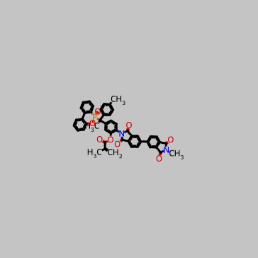 C=C(C)C(=O)Oc1cc(C(C)(c2ccc(C)cc2)P2(=O)Oc3ccccc3-c3ccccc32)ccc1N1C(=O)c2ccc(-c3ccc4c(c3)C(=O)N(C)C4=O)cc2C1=O